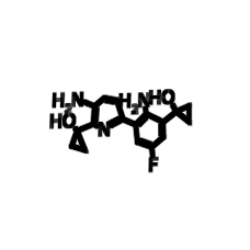 Nc1ccc(-c2cc(F)cc(C3(O)CC3)c2N)nc1C1(O)CC1